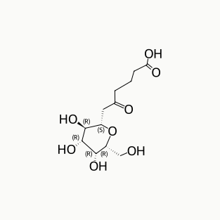 O=C(O)CCCC(=O)C[C@@H]1O[C@H](CO)[C@H](O)[C@H](O)[C@H]1O